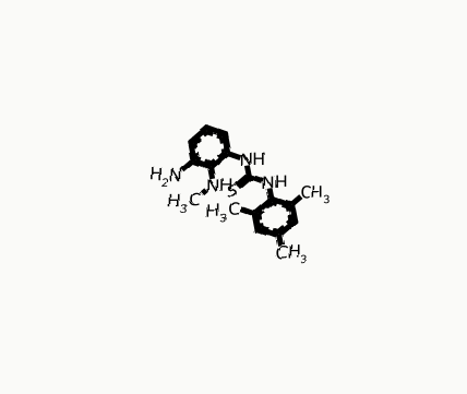 CNc1c(N)cccc1NC(=S)Nc1c(C)cc(C)cc1C